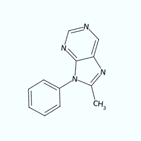 Cc1nc2cncnc2n1-c1ccccc1